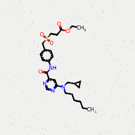 CCCCCCN(CC1CC1)c1cc(C(=O)Nc2ccc(CS(=O)(=O)CCC(=O)OCC)cc2)ncn1